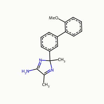 COc1ccccc1-c1cccc(C2(C)N=C(C)C(N)=N2)c1